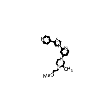 COCCN1CCN(c2ccnc(N3C=C(c4ccncc4)SC3)c2)CC1C